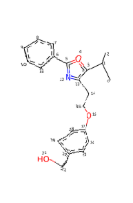 CC(C)c1oc(-c2ccccc2)nc1CCOc1ccc(CO)cc1